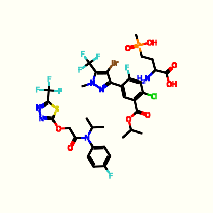 CC(C)N(C(=O)COc1nnc(C(F)(F)F)s1)c1ccc(F)cc1.CC(C)OC(=O)c1cc(-c2nn(C)c(C(F)(F)F)c2Br)c(F)cc1Cl.CP(=O)(O)CCC(N)C(=O)O